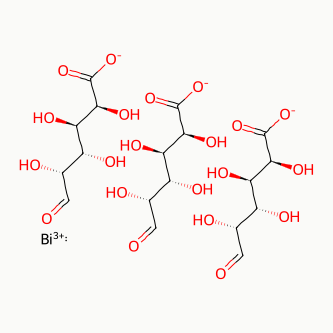 O=C[C@H](O)[C@@H](O)[C@@H](O)[C@H](O)C(=O)[O-].O=C[C@H](O)[C@@H](O)[C@@H](O)[C@H](O)C(=O)[O-].O=C[C@H](O)[C@@H](O)[C@@H](O)[C@H](O)C(=O)[O-].[Bi+3]